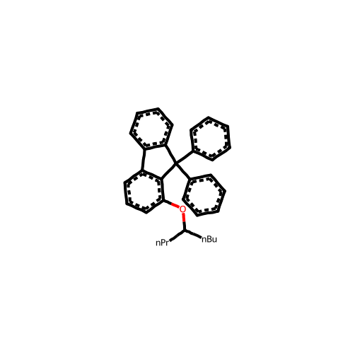 CCCCC(CCC)Oc1cccc2c1C(c1ccccc1)(c1ccccc1)c1ccccc1-2